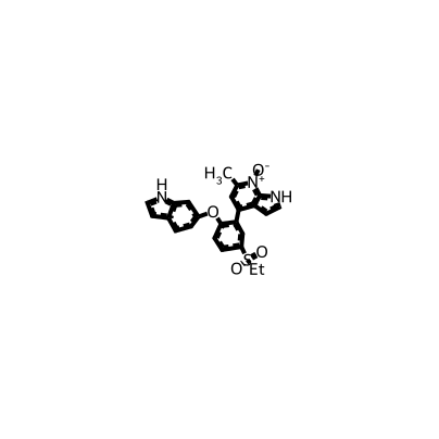 CCS(=O)(=O)c1ccc(Oc2ccc3cc[nH]c3c2)c(-c2cc(C)[n+]([O-])c3[nH]ccc23)c1